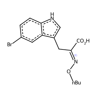 CCCCO/N=C(\Cc1c[nH]c2ccc(Br)cc12)C(=O)O